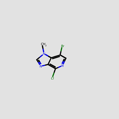 Cn1cnc2c(Cl)ncc(Br)c21